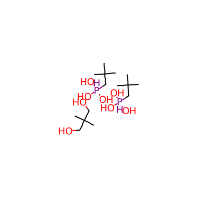 CC(C)(C)C[PH](O)(O)O.CC(C)(C)C[PH](O)(O)O.CC(C)(CO)CO